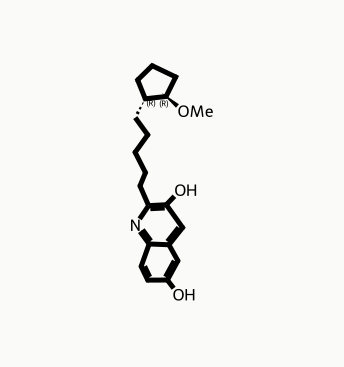 CO[C@@H]1CCC[C@H]1CCCCCc1nc2ccc(O)cc2cc1O